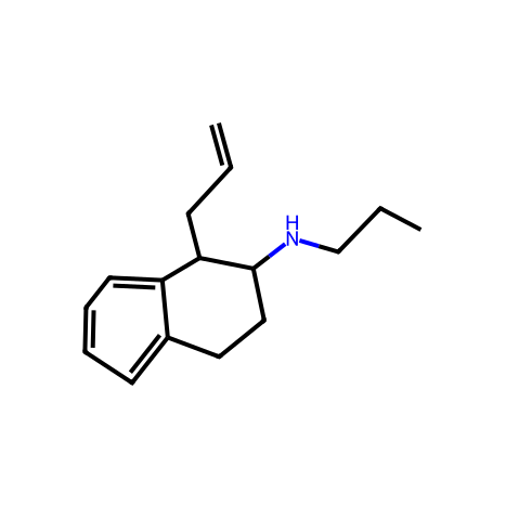 C=CCC1c2ccccc2CCC1NCCC